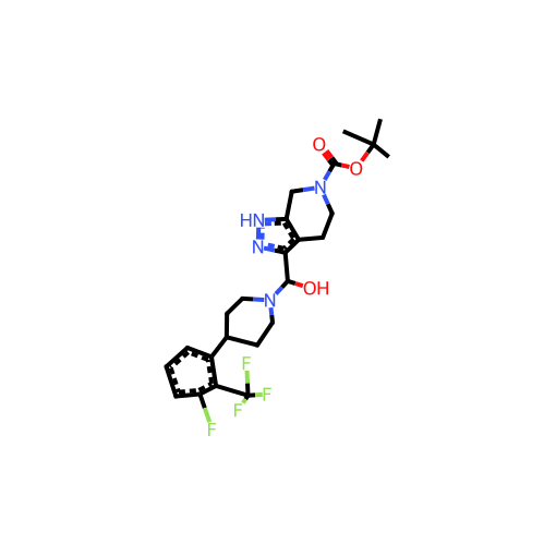 CC(C)(C)OC(=O)N1CCc2c(C(O)N3CCC(c4cccc(F)c4C(F)(F)F)CC3)n[nH]c2C1